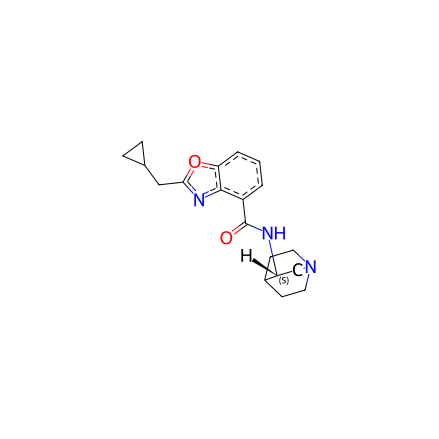 O=C(N[C@@H]1CN2CCC1CC2)c1cccc2oc(CC3CC3)nc12